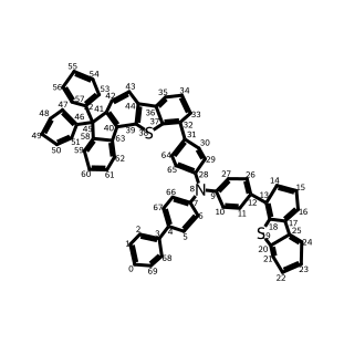 c1ccc(-c2ccc(N(c3ccc(-c4cccc5c4sc4ccccc45)cc3)c3ccc(-c4cccc5c4sc4c6c(ccc45)C(c4ccccc4)(c4ccccc4)c4ccccc4-6)cc3)cc2)cc1